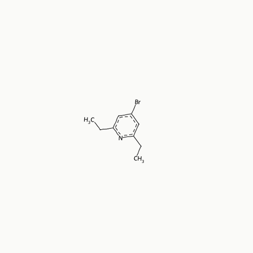 CCc1cc(Br)cc(CC)n1